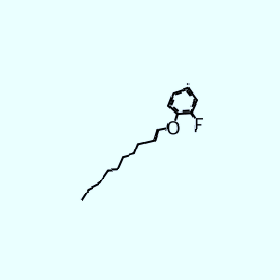 CCCCCCCCCCOc1cc[c]cc1F